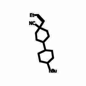 CC/C=C\C1(C#N)CCC(C2CCC(CCCC)CC2)CC1